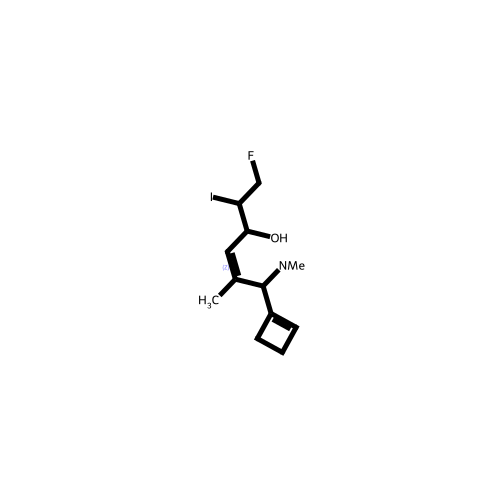 CNC(C1=CCC1)/C(C)=C\C(O)C(I)CF